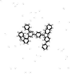 c1ccc(-c2ccc3c4cc5ccccc5cc4n(-c4ccc(-c5nc(-c6ccccc6)nc(-c6cccc7oc8ccccc8c67)n5)cc4)c3c2)cc1